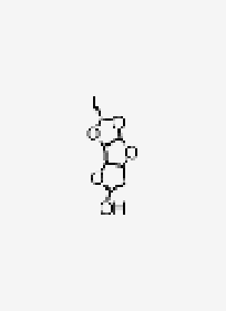 OC1CC2OC3OC(I)OC3C2O1